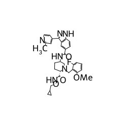 COc1cccc(F)c1CN1C[C@H](NC(=O)c2ccc3[nH]nc(-c4ccnc(C)c4)c3c2)CC[C@H]1C(=O)NOCC1CC1